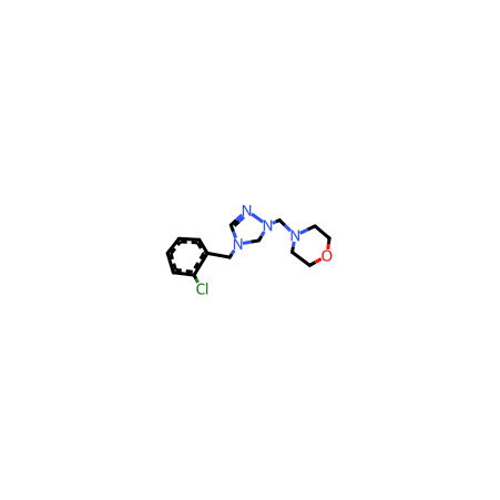 Clc1ccccc1CN1C=NN(CN2CCOCC2)C1